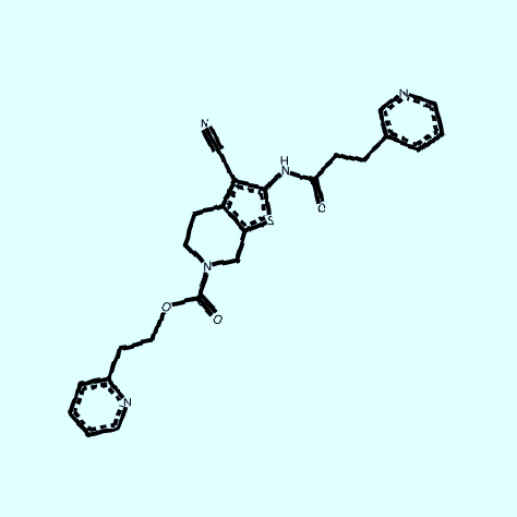 N#Cc1c(NC(=O)CCc2cccnc2)sc2c1CCN(C(=O)OCCc1ccccn1)C2